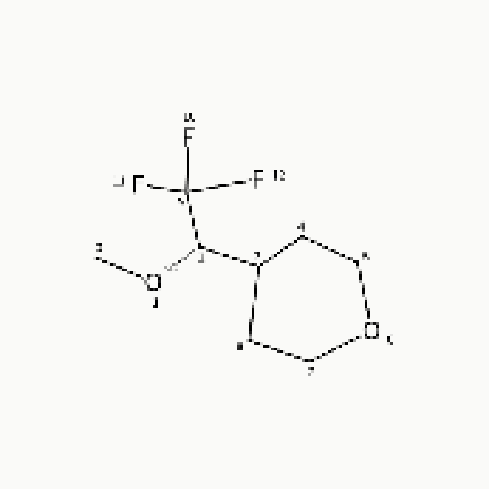 CO[C@@H](C1CCOCC1)C(F)(F)F